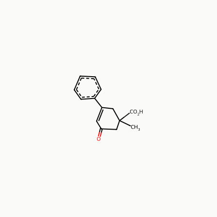 CC1(C(=O)O)CC(=O)C=C(c2ccccc2)C1